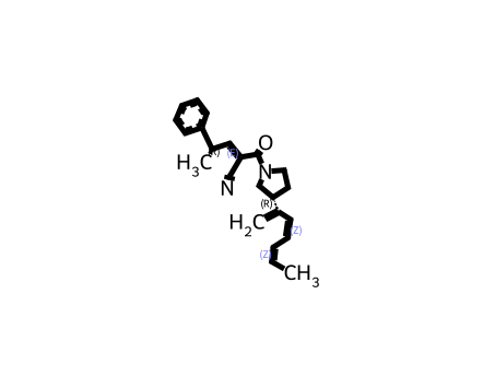 C=C(/C=C\C=C/C)[C@H]1CCN(C(=O)/C(C#N)=C/[C@@H](C)c2ccccc2)C1